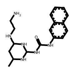 CC1CC(NCCN)NC(NC(=O)Nc2ccc3ccccc3c2)N1